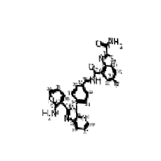 NC(=O)c1nc2c(C(=O)NCc3ccc(-n4c(-c5cccnc5N)nc5cccnc54)cc3)cc(F)cc2s1